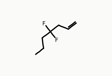 C=CCC(F)(F)CCC